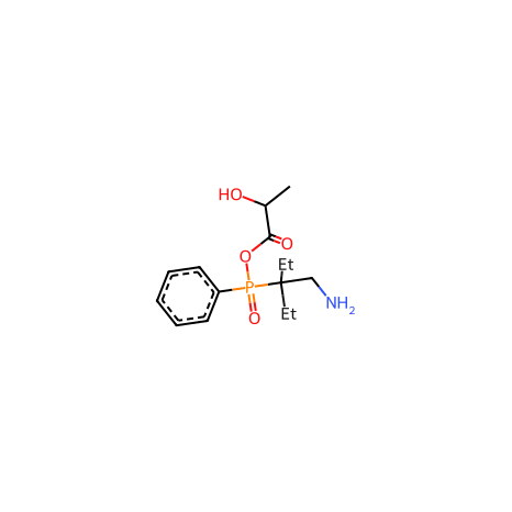 CCC(CC)(CN)P(=O)(OC(=O)C(C)O)c1ccccc1